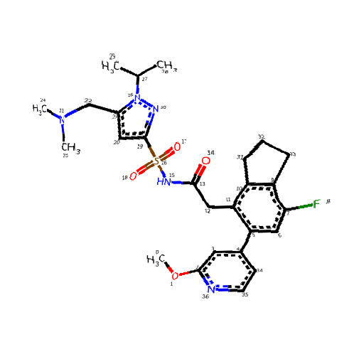 COc1cc(-c2cc(F)c3c(c2CC(=O)NS(=O)(=O)c2cc(CN(C)C)n(C(C)C)n2)CCC3)ccn1